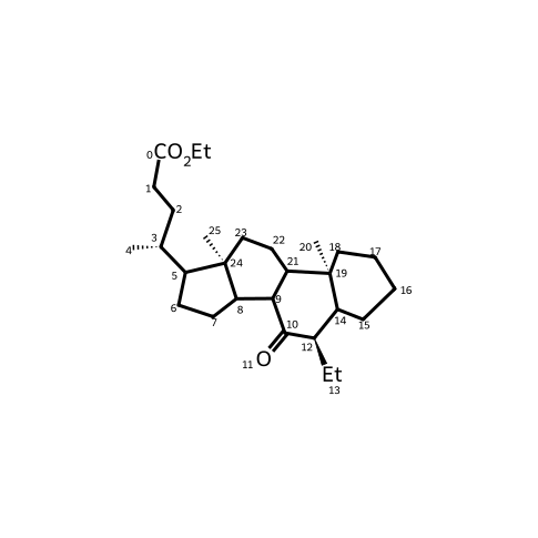 CCOC(=O)CC[C@@H](C)C1CCC2C3C(=O)[C@H](CC)C4CCCC[C@]4(C)C3CC[C@@]21C